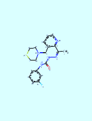 CC(=NNC(=O)Nc1cccc(F)c1)c1ncccc1CN1CCSCC1